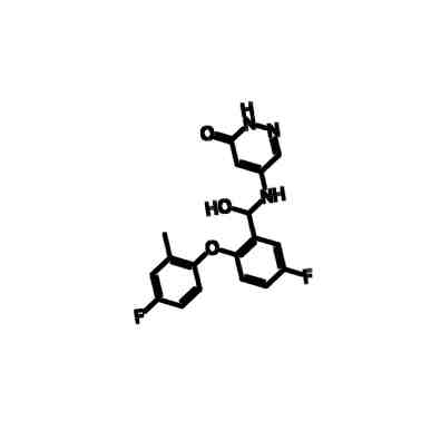 Cc1cc(F)ccc1Oc1ccc(F)cc1C(O)Nc1cn[nH]c(=O)c1